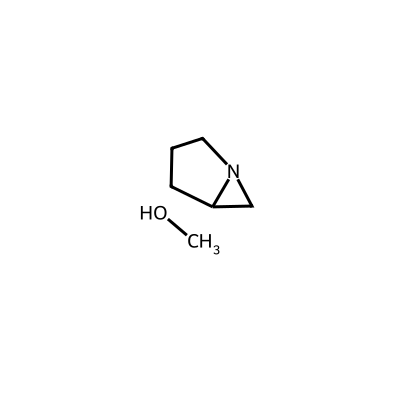 C1CC2CN2C1.CO